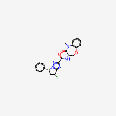 CN1C(=O)[C@@H](NC(=O)c2nc3n(n2)[C@@H](c2ccccc2)C[C@@H]3F)COc2ccccc21